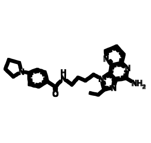 CCc1nc2c(N)nc3cccnc3c2n1CCCCNC(=O)c1ccc(N2CCCC2)cc1